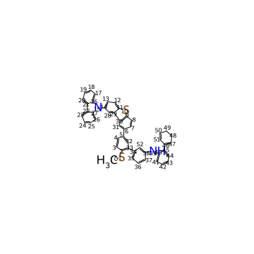 CSc1ccc(-c2ccc3sc4ccc(-n5c6ccccc6c6ccccc65)cc4c3c2)cc1-c1cccc(Nc2ccccc2C2=CCCC=C2)c1